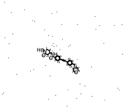 O=C(NC1CCN(O)C(=O)C1)c1ccc(C#Cc2ccc(CN3CCOCC3)cc2)cc1